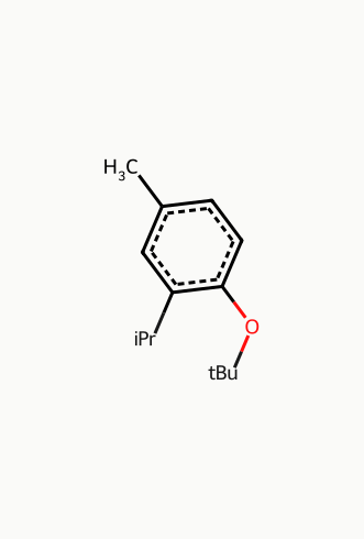 Cc1ccc(OC(C)(C)C)c(C(C)C)c1